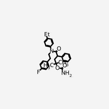 CCc1ccc(N(CCc2ccc(F)cc2)C(=O)C(CC(C)(C)OC(N)=O)c2ccccc2)cc1